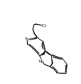 ClCc1cc2c(cn1)[nH]c1ccccc12